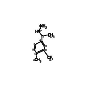 Cc1ccc(C(C)NN)cc1C(F)(F)F